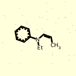 C/C=C\N(CC)c1ccccc1